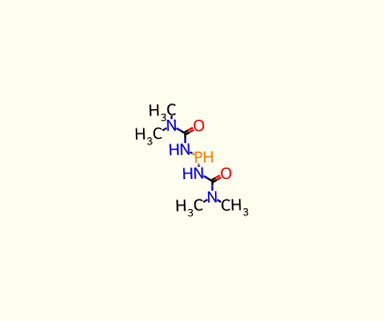 CN(C)C(=O)NPNC(=O)N(C)C